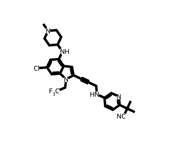 CN1CCC(Nc2cc(Cl)cc3c2cc(C#CCNc2ccc(C(C)(C)C#N)nc2)n3CC(F)(F)F)CC1